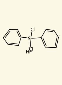 Cl[Si](Cl)(c1ccccc1)c1ccccc1.F